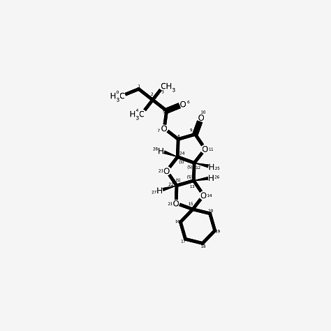 CCC(C)(C)C(=O)OC1C(=O)O[C@@H]2[C@@H]3OC4(CCCCC4)O[C@@H]3O[C@H]12